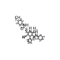 CCc1ccc(NC(=O)CSC2=C(C#N)C(c3ccsc3)C(C(=O)Nc3ccccc3)=C(C)N2)cc1